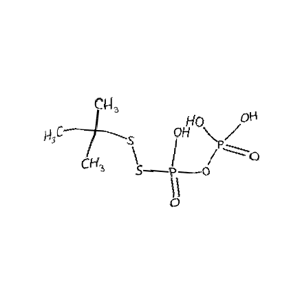 CC(C)(C)SSP(=O)(O)OP(=O)(O)O